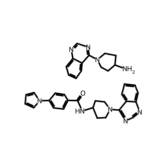 NC1CCN(c2ncnc3ccccc23)CC1.O=C(NC1CCN(c2ncnc3ccccc23)CC1)c1ccc(-n2cccc2)cc1